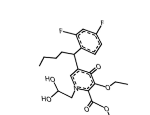 CCCCC(c1ccc(F)cc1F)c1cn(CC(O)O)c(C(=O)OCC)c(OCC)c1=O